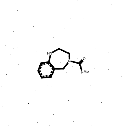 CNC(=O)N1CCNc2ccccc2C1